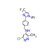 Cc1nnc(Cl)cc1NCc1ccc(-c2nc(C(F)(F)F)cn2C(C)C)cc1